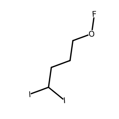 FOCCCC(I)I